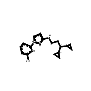 Clc1cccc(-n2ccc(OCCC(C3CC3)C3CC3)n2)n1